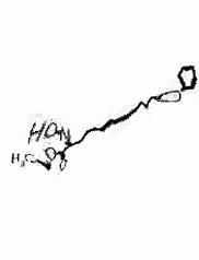 CCOC(=O)C(CCCCCCCCOc1ccccc1)=NO